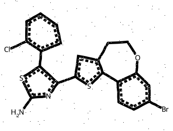 Nc1nc(-c2cc3c(s2)-c2ccc(Br)cc2OCC3)c(-c2ccccc2Cl)s1